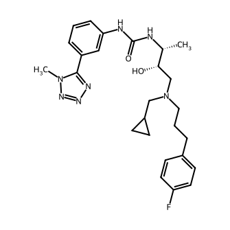 C[C@@H](NC(=O)Nc1cccc(-c2nnnn2C)c1)[C@@H](O)CN(CCCc1ccc(F)cc1)CC1CC1